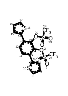 O=S(=O)(Oc1c(-c2cccs2)ccc(-c2cccs2)c1OS(=O)(=O)C(F)(F)F)C(F)(F)F